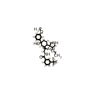 CCO[C@H]1CNC[C@@]1([AsH]C(=O)CNC(=O)c1cccc(C(F)(F)F)c1)C1CCC(O)(c2cccc(OC)c2)CC1